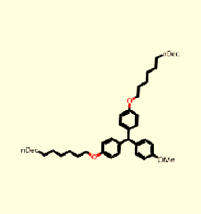 CCCCCCCCCCCCCCCCOc1ccc([C](c2ccc(OC)cc2)c2ccc(OCCCCCCCCCCCCCCCC)cc2)cc1